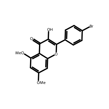 COc1cc(OC)c2c(=O)c(O)c(-c3ccc(Br)cc3)oc2c1